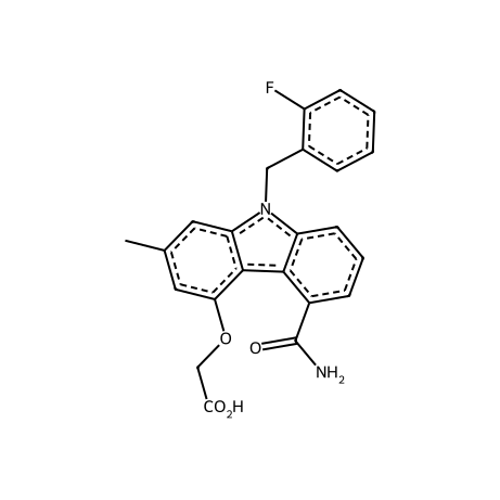 Cc1cc(OCC(=O)O)c2c3c(C(N)=O)cccc3n(Cc3ccccc3F)c2c1